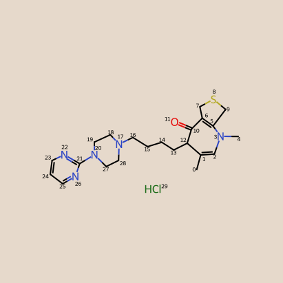 CC1=CN(C)C2=C(CSC2)C(=O)C1CCCCN1CCN(c2ncccn2)CC1.Cl